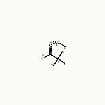 CC(=O)O.CC(C)(C)C(=O)O